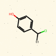 CCC(Cl)c1ccc(O)cc1